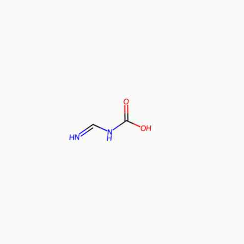 N=CNC(=O)O